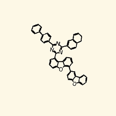 C1=Cc2cc(-c3nc(-c4ccc(-c5ccccc5)cc4)nc(-c4cccc5oc6c(-c7ccc8oc9ccccc9c8c7)cccc6c45)n3)ccc2CC1